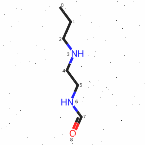 CCCNCCN[C]=O